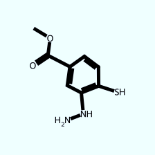 COC(=O)c1ccc(S)c(NN)c1